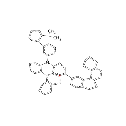 CC1(C)c2ccccc2-c2cc(N(c3ccc(-c4ccc5ccc6ccc7ccccc7c6c5c4)cc3)c3ccccc3-c3cccc4ccccc34)ccc21